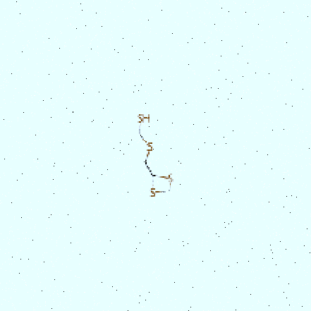 SCSCC1SCS1